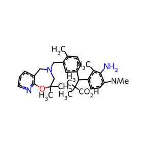 CNc1ccc(C(c2ccc(C)c(CN3Cc4cccnc4OC(C)(C)C3)c2)C(C)(C)C(=O)O)c(C)c1N